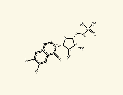 O=c1c2cc(Cl)c(Cl)cc2ccn1[C@@H]1O[C@H](COP(=O)(O)O)[C@H](O)[C@H]1O